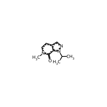 CC(C)n1ncc2ccn(C)c(=O)c21